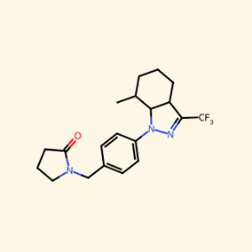 CC1CCCC2C(C(F)(F)F)=NN(c3ccc(CN4CCCC4=O)cc3)C12